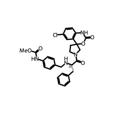 COC(=O)Nc1ccc(CN[C@@H](Cc2ccccc2)C(=O)N2CCC3(C2)OC(=O)Nc2ccc(Cl)cc23)cc1